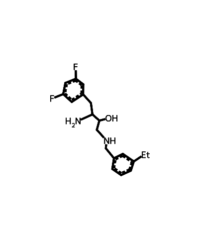 CCc1cccc(CNCC(O)C(N)Cc2cc(F)cc(F)c2)c1